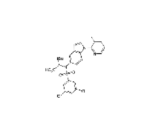 Cc1cccnc1-n1ccc2cc(N(C(C(=O)O)C(C)(C)C)S(=O)(=O)c3cc(Cl)cc(Cl)c3)ccc21